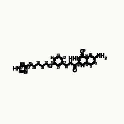 Nc1ccc2nc(C(=O)NCc3cccc(OCCCCSc4nc[nH]n4)c3)[nH]c(=O)c2c1